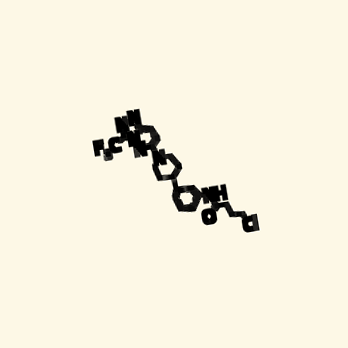 O=C(CCCCl)Nc1cccc(C2CCN(c3ccc4nnc(C(F)(F)F)n4n3)CC2)c1